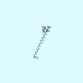 CCCCCCCCCCCCCCCCCC(=O)NC(CO)C(=O)O